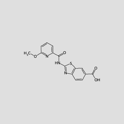 COc1cccc(C(=O)Nc2nc3ccc(C(=O)O)cc3s2)n1